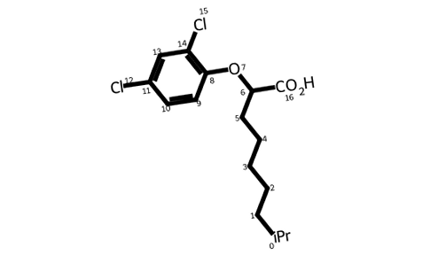 CC(C)CCCCCC(Oc1ccc(Cl)cc1Cl)C(=O)O